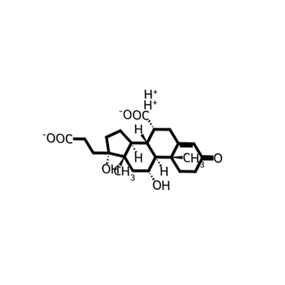 C[C@]12CCC(=O)C=C1C[C@@H](C(=O)[O-])[C@@H]1[C@@H]2[C@H](O)C[C@@]2(C)[C@H]1CC[C@]2(O)CCC(=O)[O-].[H+].[H+]